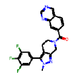 Cn1nc2c(c1-c1cc(F)c(F)c(F)c1)CCN(C(=O)c1ccc3cncnc3c1)C2